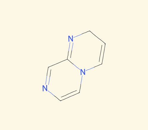 C1=CN2C=CN=CC2=NC1